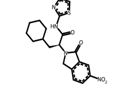 O=C(Nc1nccs1)[C@H](CC1CCCCC1)N1Cc2ccc([N+](=O)[O-])cc2C1=O